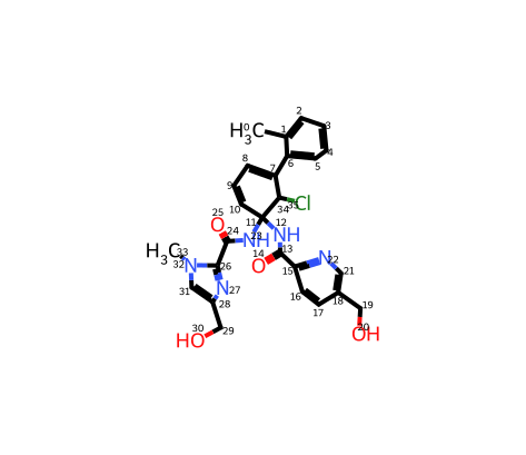 Cc1ccccc1C1=CC=CC(NC(=O)c2ccc(CO)cn2)(NC(=O)c2nc(CO)cn2C)C1Cl